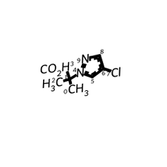 CC(C)(C(=O)O)n1cc(Cl)cn1